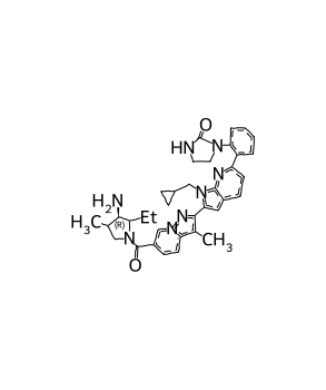 CCC1[C@H](N)C(C)CN1C(=O)c1ccc2c(C)c(-c3cc4ccc(-c5ccccc5N5CCNC5=O)nc4n3CC3CC3)nn2c1